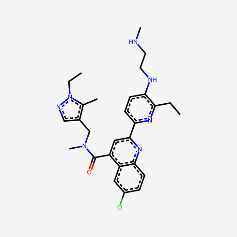 CCc1nc(-c2cc(C(=O)N(C)Cc3cnn(CC)c3C)c3cc(Cl)ccc3n2)ccc1NCCNC